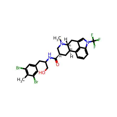 Cc1c(Br)cc(CC(CO)NC(=O)[C@@H]2C[C@@H]3c4cccc5c4c(cn5C(F)(F)F)C[C@H]3N(C)C2)cc1Br